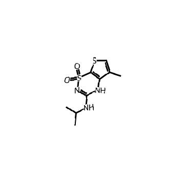 Cc1csc2c1NC(NC(C)C)=NS2(=O)=O